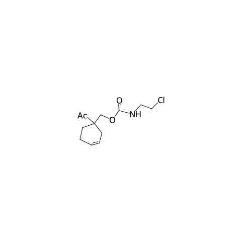 CC(=O)C1(COC(=O)NCCCl)CC=CCC1